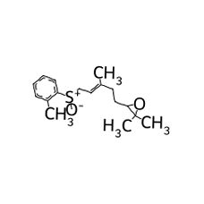 C/C(=C\C[S+]([O-])c1ccccc1C)CCC1OC1(C)C